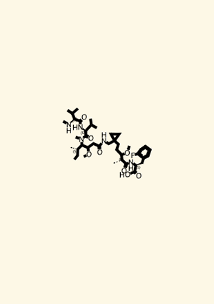 CC[C@H](C)C(C(CC(=O)NCC1(CCC(OC)[C@@H](C)C(=O)N[C@@H](Cc2ccccc2F)C(=O)O)CC1)OC)N(C)C(=O)[C@@H](NC(=O)[C@@H](NC)C(C)C)C(C)C